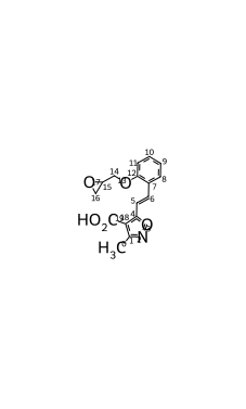 Cc1noc(C=Cc2ccccc2OCC2CO2)c1C(=O)O